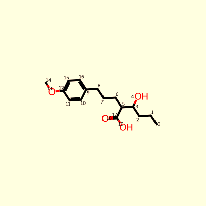 CCCC(O)C(CCCc1ccc(OC)cc1)C(=O)O